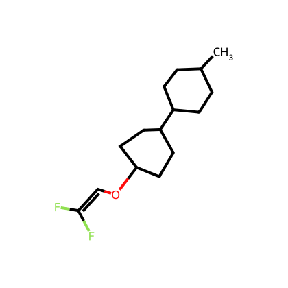 CC1CCC(C2CCC(OC=C(F)F)CC2)CC1